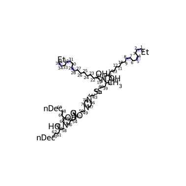 CC/C=C\C/C=C\C/C=C\CCCCCCC(O)CN(CC(O)CCCCCC/C=C\C/C=C\C/C=C\CC)C(C)CCSSCCN1CCN(CCOC(=O)CCCN(CC(O)CCCCCCCCCCCC)CC(O)CCCCCCCCCCCC)CC1